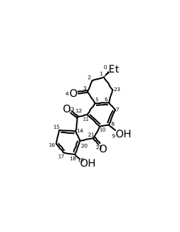 CC[C@@H]1CC(=O)c2c(cc(O)c3c2C(=O)c2cccc(O)c2C3=O)C1